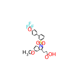 COc1ccc2c(c1)c(CCC(=O)O)cn2S(=O)(=O)c1cccc(-c2ccc(OC(F)(F)F)cc2)c1